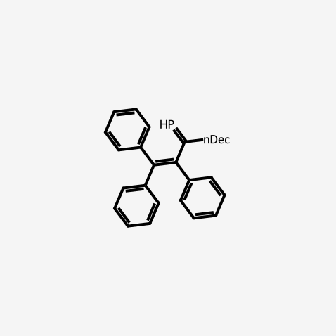 CCCCCCCCCCC(=P)C(=C(c1ccccc1)c1ccccc1)c1ccccc1